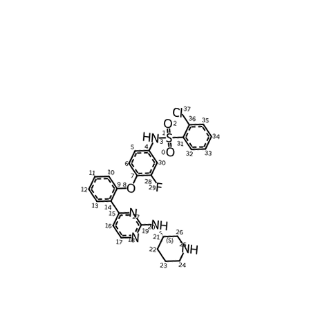 O=S(=O)(Nc1ccc(Oc2ccccc2-c2ccnc(N[C@H]3CCCNC3)n2)c(F)c1)c1ccccc1Cl